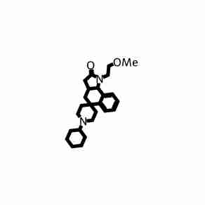 COCCN1C(=O)CC2CC3(CCN(C4CCCCC4)CC3)c3ccccc3C21